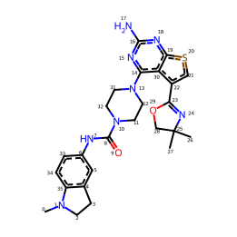 CN1CCc2cc(NC(=O)N3CCN(c4nc(N)nc5scc(C6=NC(C)(C)CO6)c45)CC3)ccc21